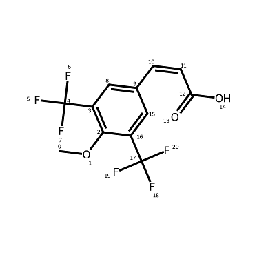 COc1c(C(F)(F)F)cc(/C=C\C(=O)O)cc1C(F)(F)F